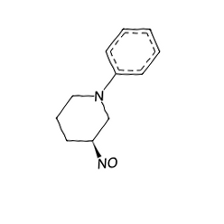 O=N[C@H]1CCCN(c2ccccc2)C1